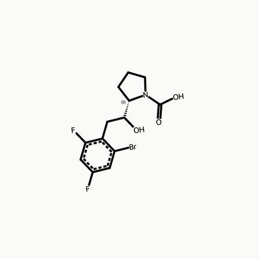 O=C(O)N1CCC[C@H]1C(O)Cc1c(F)cc(F)cc1Br